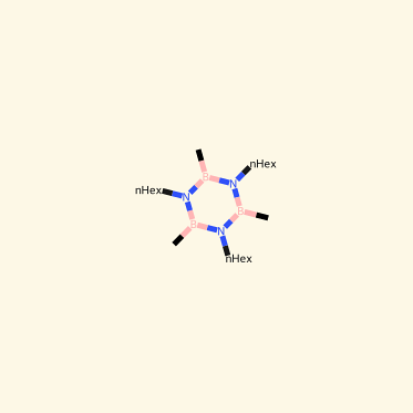 CCCCCCN1B(C)N(CCCCCC)B(C)N(CCCCCC)B1C